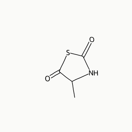 CC1NC(=O)SC1=O